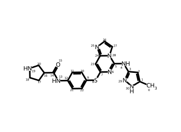 Cc1cc(Nc2nc(Sc3ccc(NC(=O)C4CCNC4)cc3)cc3nccn23)n[nH]1